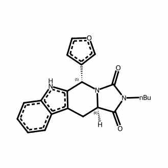 CCCCN1C(=O)[C@H]2Cc3c([nH]c4ccccc34)[C@H](c3ccoc3)N2C1=O